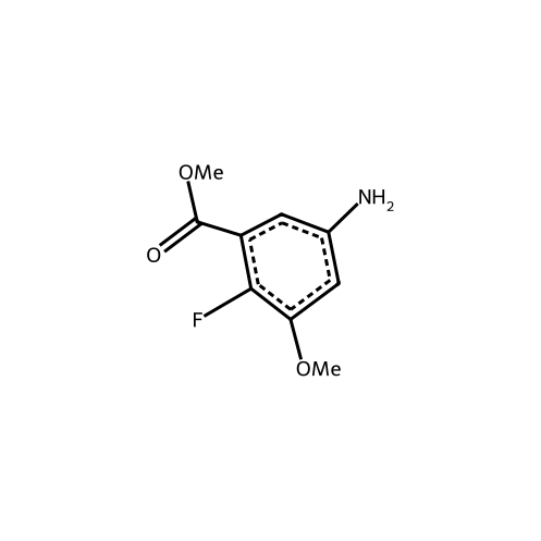 COC(=O)c1cc(N)cc(OC)c1F